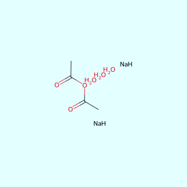 CC(=O)OC(C)=O.O.O.O.[NaH].[NaH]